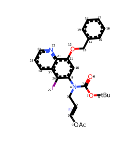 CC(=O)O/C=C/CN(C(=O)OC(C)(C)C)c1cc(OCc2ccccc2)c2ncccc2c1I